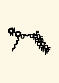 CCCCCCCc1cc(-c2ncccn2)ccc1OCCCOCC(F)(F)OC(F)(F)C(F)(F)OC(F)(F)C(F)(F)OC(F)(F)F